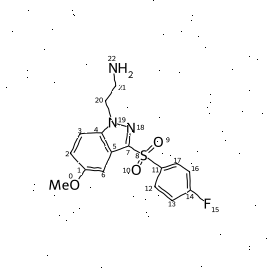 COc1ccc2c(c1)c(S(=O)(=O)c1ccc(F)cc1)nn2CCN